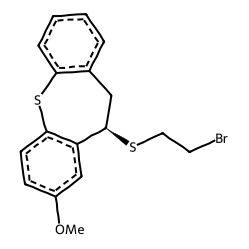 COc1ccc2c(c1)[C@H](SCCBr)Cc1ccccc1S2